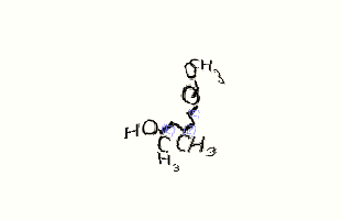 COCO/C=C/C=C(C)\C=C(/C)O